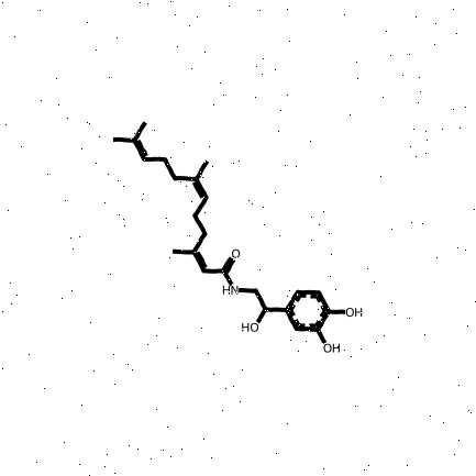 CC(C)=CCCC(C)=CCCC(C)=CC(=O)NCC(O)c1ccc(O)c(O)c1